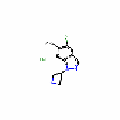 COc1cc2c(cnn2C2CNC2)cc1Br.Cl